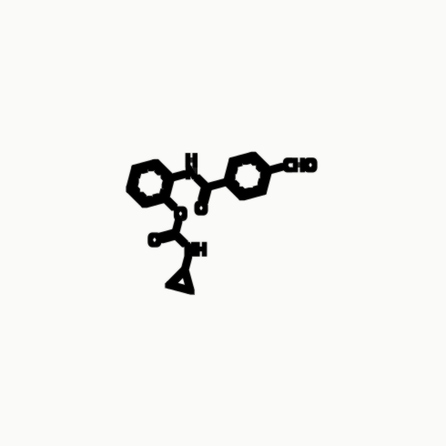 O=Cc1ccc(C(=O)Nc2ccccc2OC(=O)NC2CC2)cc1